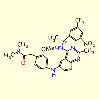 COc1cc(Nc2ccc3nc(C)nc(N[C@H](C)c4cc([N+](=O)[O-])cc(C(F)(F)F)c4)c3c2)ccc1CC(=O)N(C)C